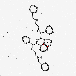 c1ccc(CNCCOB(c2ccccc2)C(OC(B(OCCNCc2ccccc2)c2ccccc2)c2ccccc2)c2ccccc2)cc1